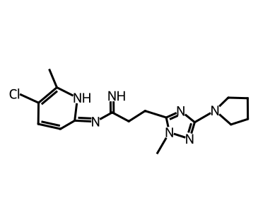 Cc1[nH]/c(=N\C(=N)CCc2nc(N3CCCC3)nn2C)ccc1Cl